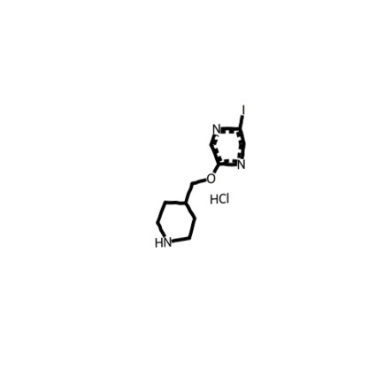 Cl.Ic1cnc(OCC2CCNCC2)cn1